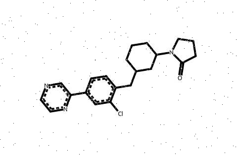 O=C1CCCN1C1CCCC(Cc2ccc(-c3cnccn3)cc2Cl)C1